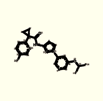 O=C(Nc1ccn(-c2cncc(OC(F)F)c2)n1)C1(c2ccc(F)cn2)CC1